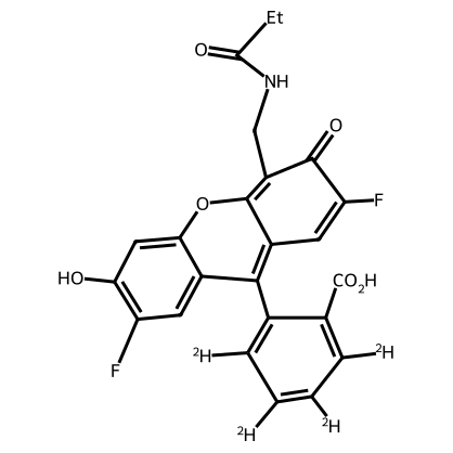 [2H]c1c([2H])c([2H])c(-c2c3cc(F)c(=O)c(CNC(=O)CC)c-3oc3cc(O)c(F)cc23)c(C(=O)O)c1[2H]